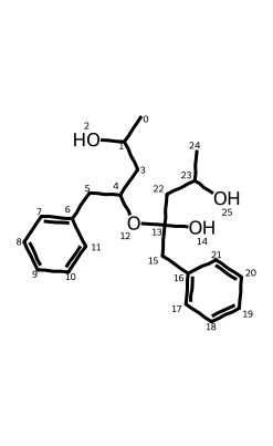 CC(O)CC(Cc1ccccc1)OC(O)(Cc1ccccc1)CC(C)O